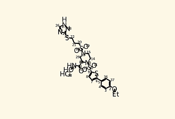 CCOc1ccc(-c2ccc(S(=O)(=O)N3CCN(S(=O)(=O)CCCSc4nc[nH]n4)C[C@@H]3C(=O)NO)s2)cc1.Cl